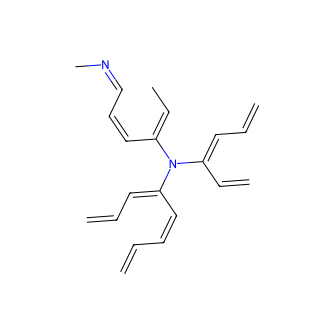 C=C/C=C\C(=C/C=C)N(/C(C=C)=C/C=C)C(/C=C\C=N/C)=C/C